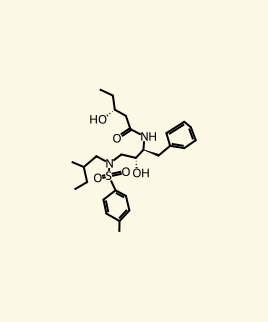 CCC(C)CN(C[C@@H](O)[C@H](Cc1ccccc1)NC(=O)C[C@H](O)CC)S(=O)(=O)c1ccc(C)cc1